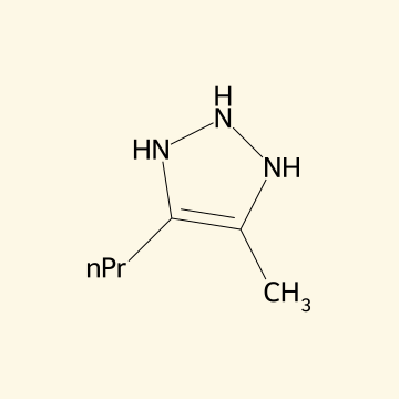 CCCC1=C(C)NNN1